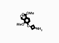 C=Cc1c(C(=O)OC)ccc(O[C@H]2C[C@H](N)C2)c1OC